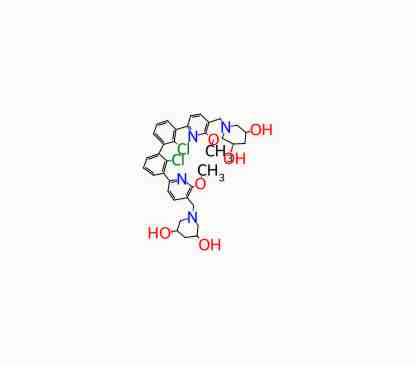 COc1nc(-c2cccc(-c3cccc(-c4ccc(CN5C[C@H](O)C[C@H](O)C5)c(OC)n4)c3Cl)c2Cl)ccc1CN1C[C@H](O)C[C@H](O)C1